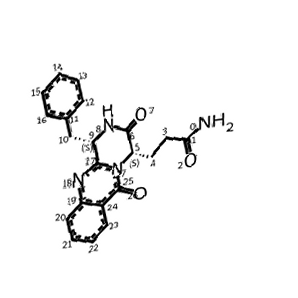 NC(=O)CC[C@H]1C(=O)N[C@@H](Cc2ccccc2)c2nc3ccccc3c(=O)n21